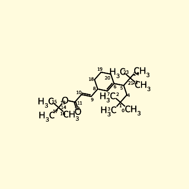 CC(C)(C)CC(C1=CC(/C=C/C(=O)OC(C)(C)C)CCC1)C(C)(C)C